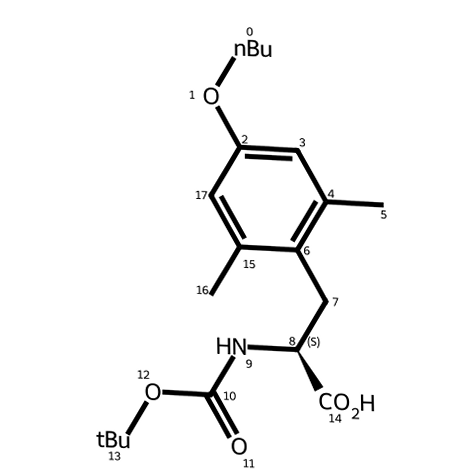 CCCCOc1cc(C)c(C[C@H](NC(=O)OC(C)(C)C)C(=O)O)c(C)c1